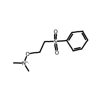 C[N+](C)OCCS(=O)(=O)c1ccccc1